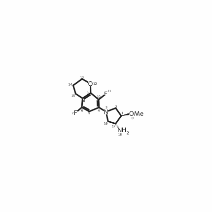 CO[C@@H]1CN(c2cc(F)c3c(c2F)OCCC3)C[C@H]1N